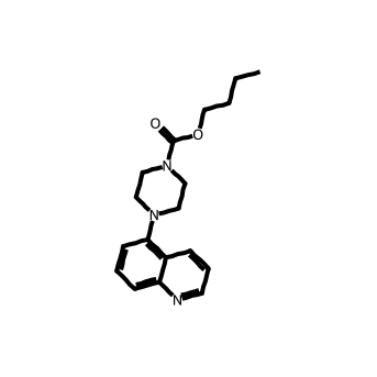 CCCCOC(=O)N1CCN(c2cccc3ncccc23)CC1